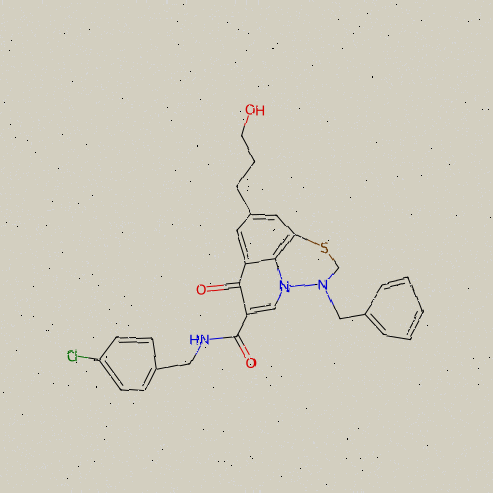 O=C(NCc1ccc(Cl)cc1)c1cn2c3c(cc(CCCO)cc3c1=O)SCN2Cc1ccccc1